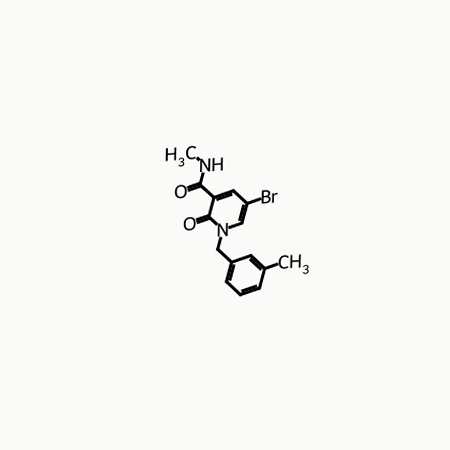 CNC(=O)c1cc(Br)cn(Cc2cccc(C)c2)c1=O